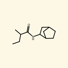 CCC(C)C(=O)NC1CC2CCC1C2